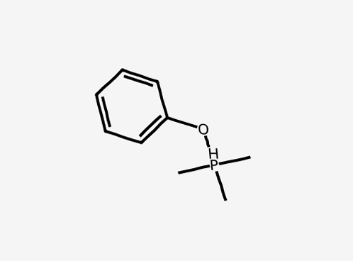 C[PH](C)(C)Oc1ccccc1